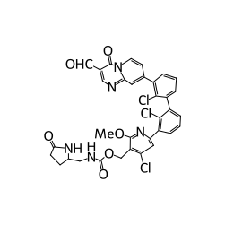 COc1nc(-c2cccc(-c3cccc(-c4ccn5c(=O)c(C=O)cnc5c4)c3Cl)c2Cl)cc(Cl)c1COC(=O)NCC1CCC(=O)N1